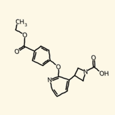 CCOC(=O)c1ccc(Oc2ncccc2C2CN(C(=O)O)C2)cc1